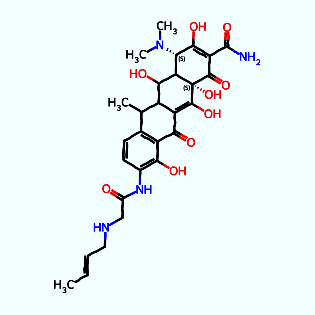 CC=CCNCC(=O)Nc1ccc2c(c1O)C(=O)C1=C(O)[C@]3(O)C(=O)C(C(N)=O)=C(O)[C@@H](N(C)C)C3C(O)C1C2C